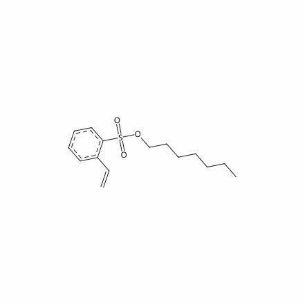 C=Cc1ccccc1S(=O)(=O)OCCCCCCC